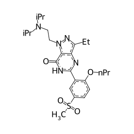 CCCOc1ccc(S(C)(=O)=O)cc1-c1nc2c(CC)nn(CCN(C(C)C)C(C)C)c2c(=O)[nH]1